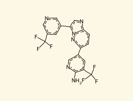 Nc1ncc(-c2ccc3ncc(-c4cncc(C(F)(F)F)c4)n3n2)cc1C(F)(F)F